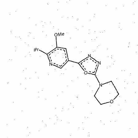 COc1cc(-c2nnc(N3CCOCC3)o2)cnc1C(C)C